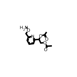 CC(=O)OCC(OC(C)=O)c1cccc(CON)n1